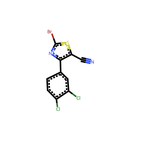 N#Cc1sc(Br)nc1-c1ccc(Cl)c(Cl)c1